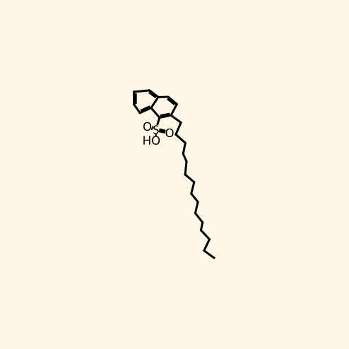 CCCCCCCCCCCCCCCc1ccc2ccccc2c1S(=O)(=O)O